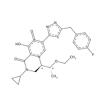 CCO[C@H](C)[C@H]1CN(C2CC2)C(=O)c2c(O)c(=O)c(-c3nnc(Cc4ccc(F)cc4)s3)cn21